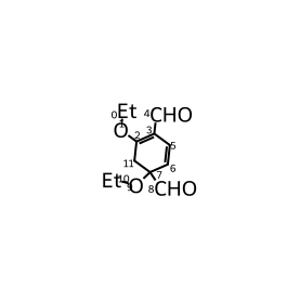 CCOC1=C(C=O)C=CC(C=O)(OCC)C1